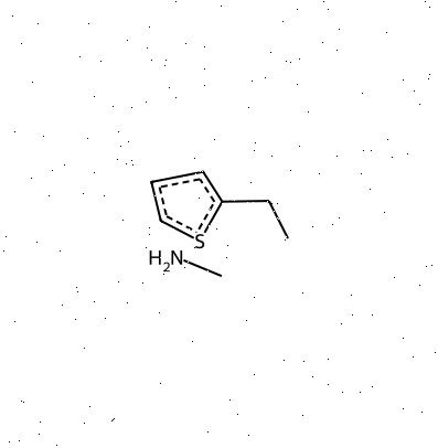 CCc1cccs1.CN